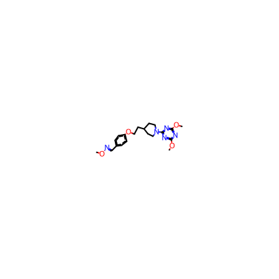 CON=Cc1ccc(OCCC2CCN(c3nc(OC)nc(OC)n3)CC2)cc1